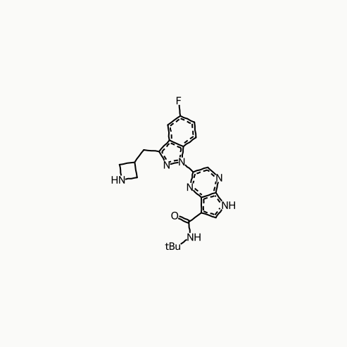 CC(C)(C)NC(=O)c1c[nH]c2ncc(-n3nc(CC4CNC4)c4cc(F)ccc43)nc12